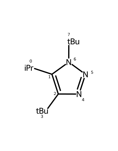 CC(C)c1c(C(C)(C)C)nnn1C(C)(C)C